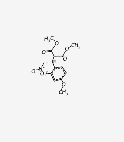 COC(=O)C(C(=O)OC)[C@@H](C[N+](=O)[O-])c1ccc(OC)cc1F